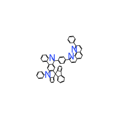 c1ccc(-c2ccc3ccc4ccc(-c5ccc(-c6nc7ccccc7c7cc8c(cc67)C6(c7ccccc7-c7ccccc76)c6ccccc6N8c6ccccc6)cc5)nc4c3n2)cc1